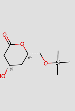 C[Si](C)(C)OC[C@@H]1C[C@H](O)CC(=O)O1